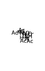 C#CCCOCCOCCN(CCC(=O)NCCN(CCC(C)=O)CCC(C)=O)CCC(=O)NCCN(CCC(C)=O)CCC(C)=O